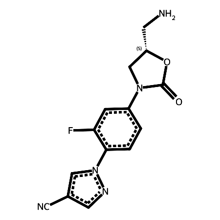 N#Cc1cnn(-c2ccc(N3C[C@H](CN)OC3=O)cc2F)c1